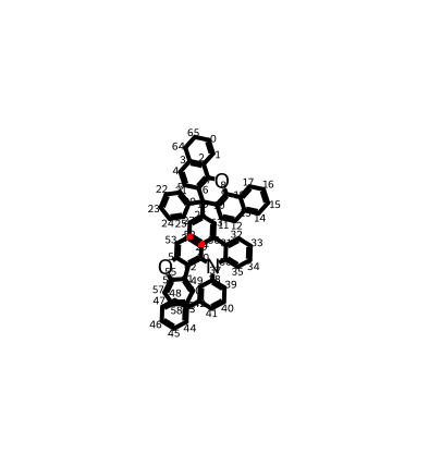 C1=Cc2c(ccc3c2Oc2c(ccc4ccccc24)C3(c2ccccc2)c2cccc(-c3ccccc3N(c3cccc(-c4ccccc4)c3)c3cccc4oc5ccccc5c34)c2)CC1